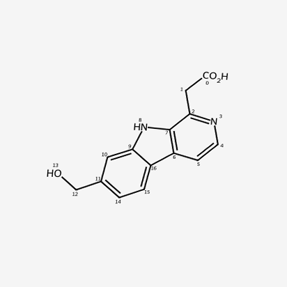 O=C(O)Cc1nccc2c1[nH]c1cc(CO)ccc12